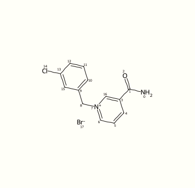 NC(=O)c1ccc[n+](Cc2cccc(Cl)c2)c1.[Br-]